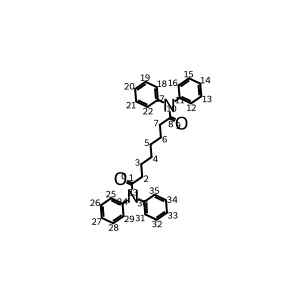 O=C(CCCCCCC(=O)N(c1ccccc1)c1ccccc1)N(c1ccccc1)c1ccccc1